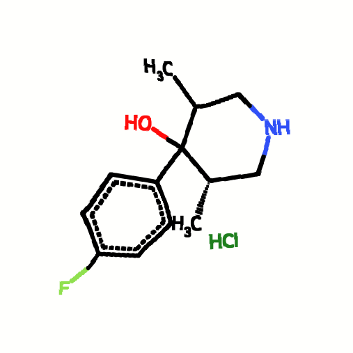 CC1CNC[C@H](C)C1(O)c1ccc(F)cc1.Cl